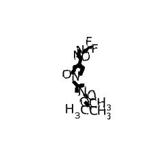 CC(C)(C)OC(=O)N1CC(Cn2ccc(-c3nnc(C(F)F)o3)cc2=O)C1